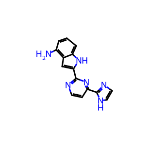 Nc1cccc2[nH]c(-c3nccc(-c4ncc[nH]4)n3)cc12